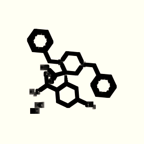 CC1CCC(C(C)C)C([C@@]2(C(=O)O)CN(Cc3ccccc3)CCN2Cc2ccccc2)C1.Cl.Cl